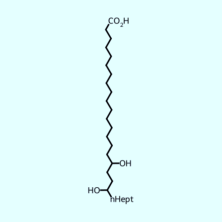 CCCCCCCC(O)CCC(O)CCCCCCCCCCCCCCCC(=O)O